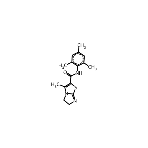 CC1=C(C(=O)Nc2c(C)cc(C)cc2C)SC2=NCCN21